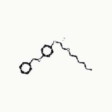 CCCCCCOC[C@@H](C)Oc1ccc(OCc2ccccc2)cc1